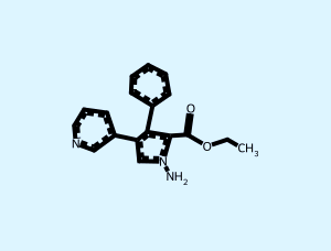 CCOC(=O)c1c(-c2ccccc2)c(-c2cccnc2)cn1N